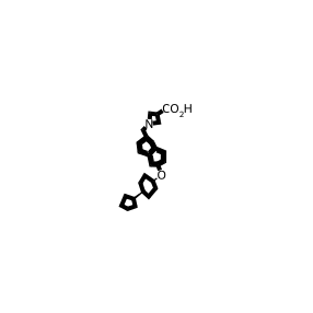 O=C(O)C1CN(Cc2ccc3cc(O[C@H]4CC[C@H](C5CCCC5)CC4)ccc3c2)C1